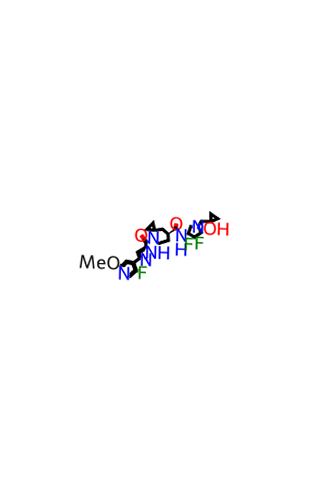 COc1cc(-c2cc(C(=O)N3CC[C@H](C(=O)N[C@@H]4CN(CC5(O)CC5)CC4(F)F)CC34CC4)[nH]n2)c(F)cn1